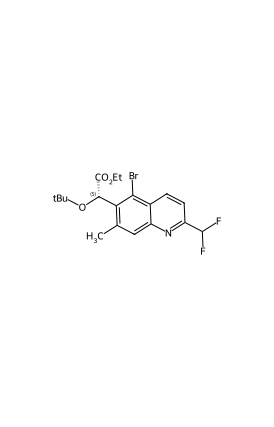 CCOC(=O)[C@@H](OC(C)(C)C)c1c(C)cc2nc(C(F)F)ccc2c1Br